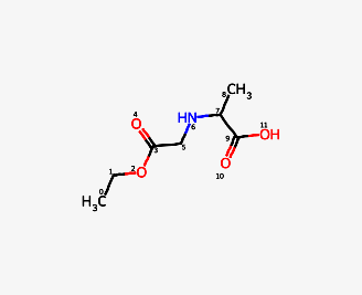 CCOC(=O)CNC(C)C(=O)O